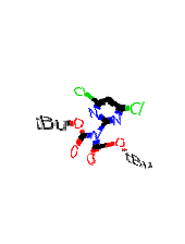 CC(C)(C)OC(=O)N(C(=O)OC(C)(C)C)c1nc(Cl)cc(Cl)n1